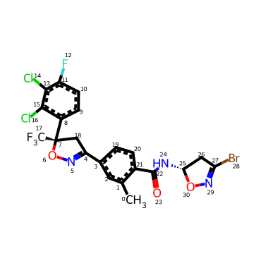 Cc1cc(C2=NO[C@@](c3ccc(F)c(Cl)c3Cl)(C(F)(F)F)C2)ccc1C(=O)N[C@@H]1CC(Br)=NO1